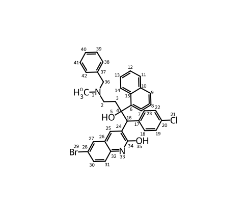 CN(CCC(O)(C1=C=C=Cc2ccccc21)C(c1ccc(Cl)cc1)c1cc2cc(Br)ccc2nc1O)Cc1ccccc1